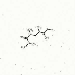 CN(C)C(=O)N(C)CC(N)C(O)CF